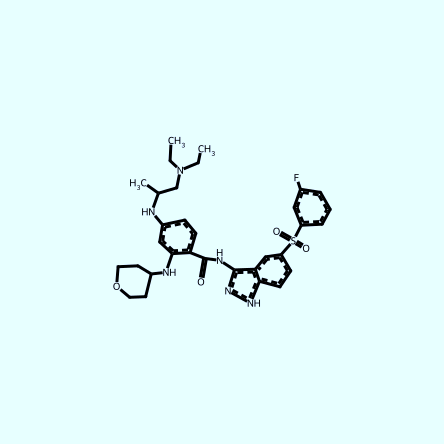 CCN(CC)CC(C)Nc1ccc(C(=O)Nc2n[nH]c3ccc(S(=O)(=O)c4cccc(F)c4)cc23)c(NC2CCOCC2)c1